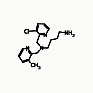 Cc1cccnc1CN(CCCCN)Cc1ncccc1Cl